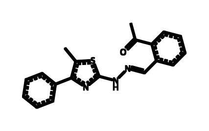 CC(=O)c1ccccc1/C=N/Nc1nc(-c2ccccc2)c(C)s1